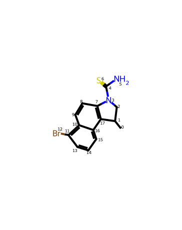 CC1CN(C(N)=S)c2ccc3c(Br)cccc3c21